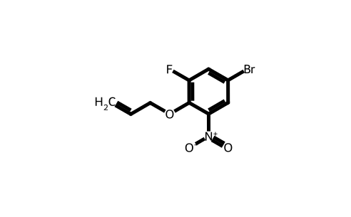 C=CCOc1c(F)cc(Br)cc1[N+](=O)[O-]